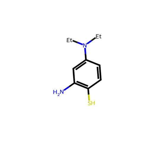 CCN(CC)c1ccc(S)c(N)c1